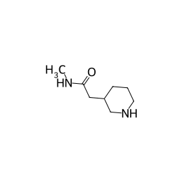 CNC(=O)CC1CCCNC1